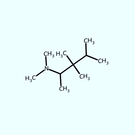 CC(C)C(C)(C)C(C)N(C)C